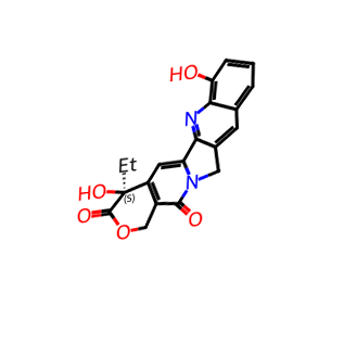 CC[C@@]1(O)C(=O)OCc2c1cc1n(c2=O)Cc2cc3cccc(O)c3nc2-1